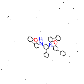 c1ccc(-c2ccc(N(c3cc(Nc4cccc5c4oc4ccccc45)cc(-c4ccccc4)c3)c3cccc4c3oc3ccccc34)cc2)cc1